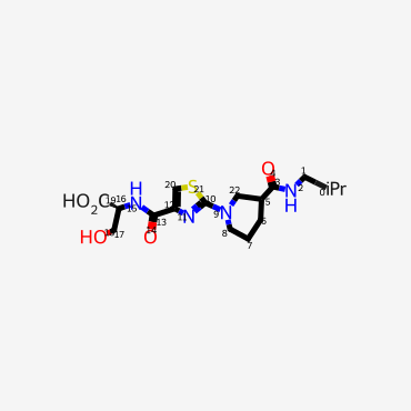 CC(C)CNC(=O)C1CCCN(c2nc(C(=O)N[C@@H](CO)C(=O)O)cs2)C1